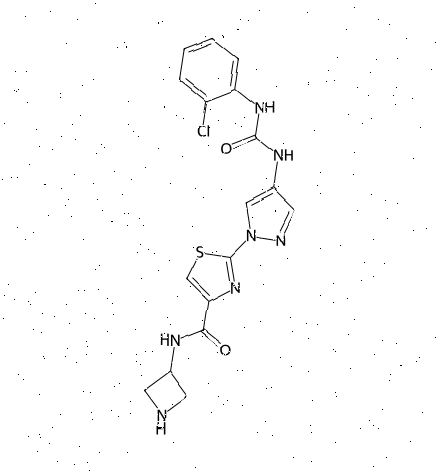 O=C(Nc1cnn(-c2nc(C(=O)NC3CNC3)cs2)c1)Nc1ccccc1Cl